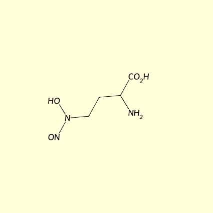 NC(CCN(O)N=O)C(=O)O